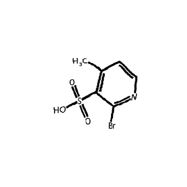 Cc1ccnc(Br)c1S(=O)(=O)O